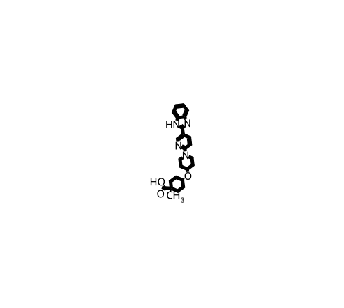 C[C@]1(C(=O)O)CC[C@H](OC2CCN(c3ccc(-c4nc5ccccc5[nH]4)cn3)CC2)CC1